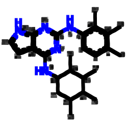 Cc1ccc(Nc2nc(NC3CC(C)C(C)C(C)C3C)c3cc[nH]c3n2)c(C)c1C